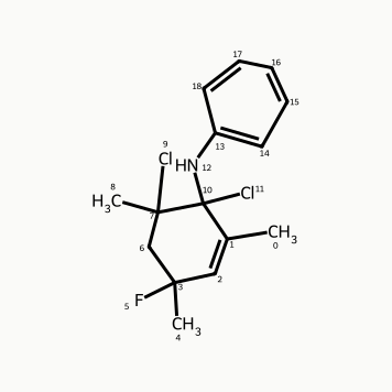 CC1=CC(C)(F)CC(C)(Cl)C1(Cl)Nc1ccccc1